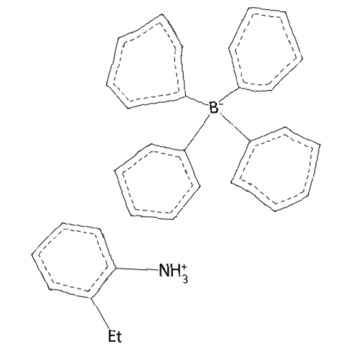 CCc1ccccc1[NH3+].c1ccc([B-](c2ccccc2)(c2ccccc2)c2ccccc2)cc1